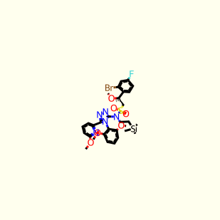 COc1cccc(-c2nnc(N(CC[Si](C)(C)C)S(=O)(=O)C[C@@H](OC)c3ccc(F)cc3Br)n2-c2c(OC)cccc2OC)n1